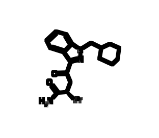 CC(C)[C@H](CC(=O)c1nn(CC2CCCCC2)c2ccccc12)C(N)=O